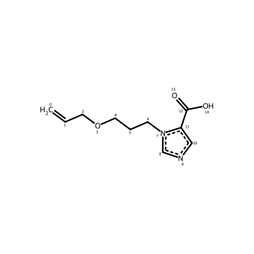 C=CCOCCCn1cncc1C(=O)O